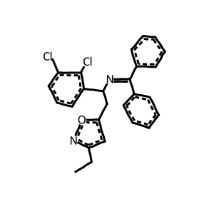 CCc1cc(CC(N=C(c2ccccc2)c2ccccc2)c2cccc(Cl)c2Cl)on1